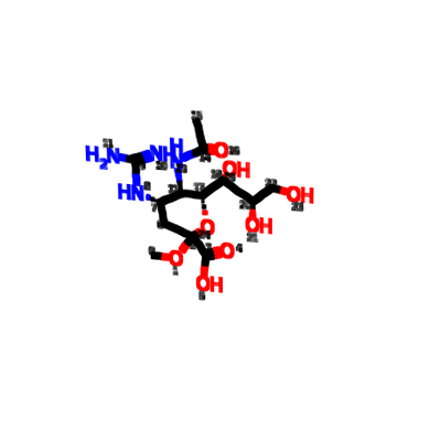 COC1(C(=O)O)C[C@H](NC(=N)N)[C@@H](NC(C)=O)[C@H]([C@H](O)[C@H](O)CO)O1